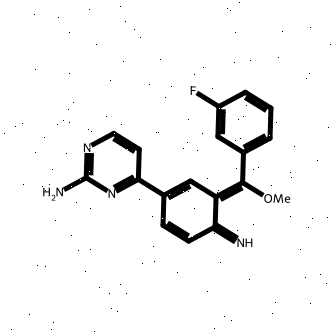 CO/C(=C1/C=C(c2ccnc(N)n2)C=CC1=N)c1cccc(F)c1